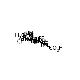 CC1(C)CCC(CN2CCN(c3ccc(C(=O)NS(=O)(=O)c4ccc(NCCCN5CC(C(=O)NCCCCC(=O)O)C5)c(S(=O)(=O)C(F)(F)F)c4)c(Oc4cnc5[nH]ccc5c4)c3)CC2)=C(c2ccc(Cl)cc2)C1